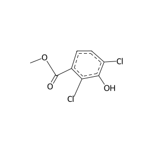 COC(=O)c1ccc(Cl)c(O)c1Cl